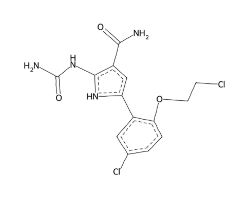 NC(=O)Nc1[nH]c(-c2cc(Cl)ccc2OCCCl)cc1C(N)=O